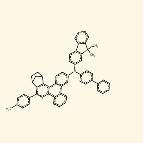 Cc1ccc(-c2nc3c4ccccc4c4cc(N(c5ccc(-c6ccccc6)cc5)c5ccc6c(c5)C(C)(C)c5ccccc5-6)ccc4c3c3c2C2CCC3C2)cc1